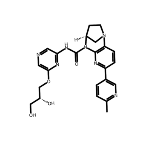 Cc1ccc(-c2ccc3c(n2)N(C(=O)Nc2cncc(OC[C@H](O)CO)n2)[C@H]2CCN3C2)cn1